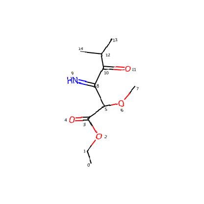 CCOC(=O)C(OC)C(=N)C(=O)C(C)C